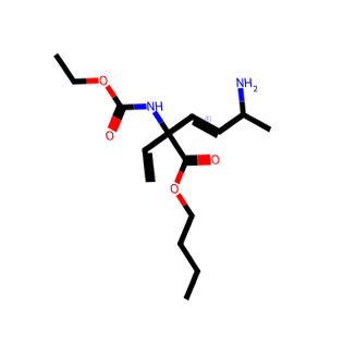 C=CC(/C=C/C(C)N)(NC(=O)OCC)C(=O)OCCCC